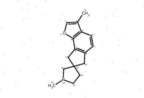 Cc1coc2c3c(ccc12)CC1(CCN(C)C1)C3